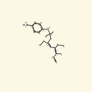 C=N/C(C)=C(\C=C(\CC)CC(C)(C)Oc1ccc(N)cc1)CC